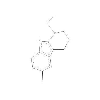 CNC1CCCc2c1[nH]c1ccc(Cl)cc21